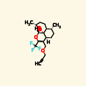 C#CCOCC1=C(C(F)(F)F)O[C@@H]2O[C@]3(C)CCC4[C@H](C)CC[C@@H]1[C@]42OO3